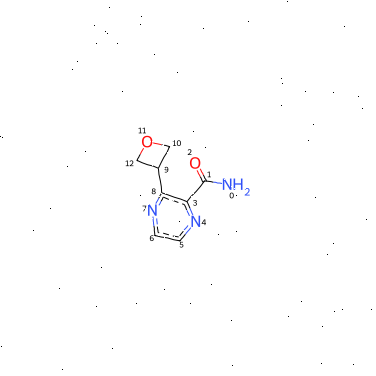 NC(=O)c1nccnc1C1COC1